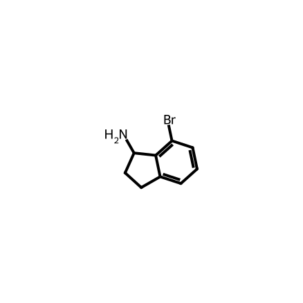 NC1CCc2cccc(Br)c21